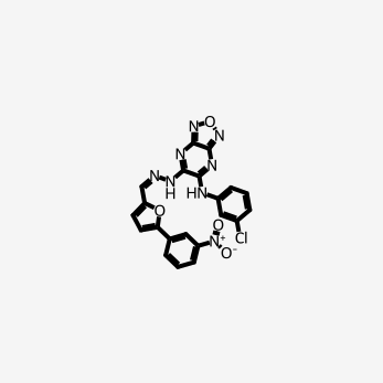 O=[N+]([O-])c1cccc(-c2ccc(/C=N\Nc3nc4nonc4nc3Nc3cccc(Cl)c3)o2)c1